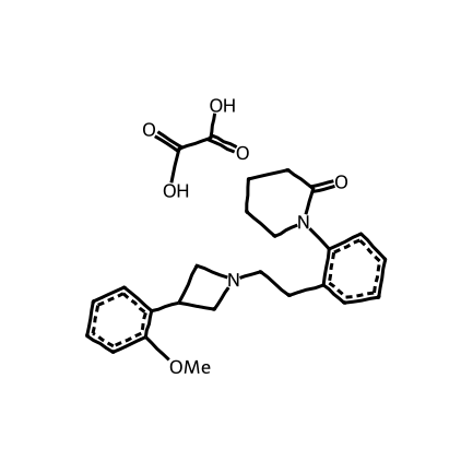 COc1ccccc1C1CN(CCc2ccccc2N2CCCCC2=O)C1.O=C(O)C(=O)O